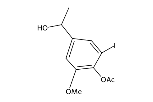 COc1cc(C(C)O)cc(I)c1OC(C)=O